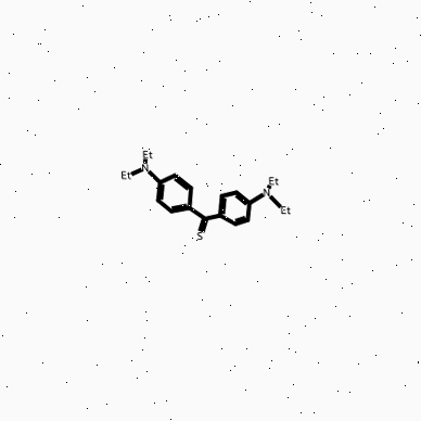 CCN(CC)c1ccc(C(=S)c2ccc(N(CC)CC)cc2)cc1